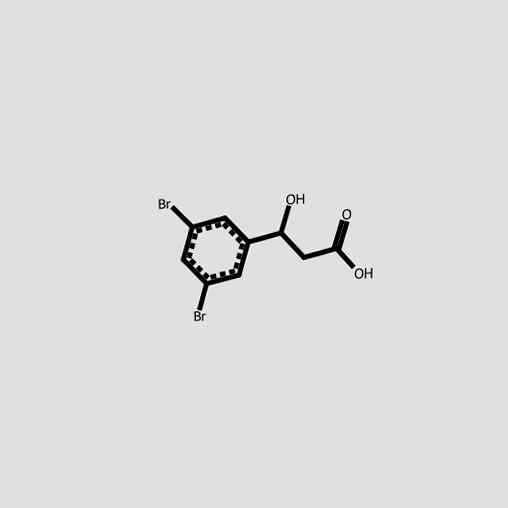 O=C(O)CC(O)c1cc(Br)cc(Br)c1